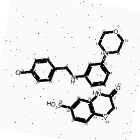 Clc1ccc(CNc2cccc(N3CCOCC3)c2)cc1.O=C1COc2ccc(S(=O)(=O)O)cc2N1